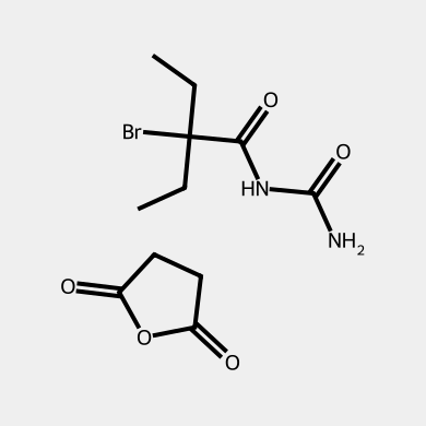 CCC(Br)(CC)C(=O)NC(N)=O.O=C1CCC(=O)O1